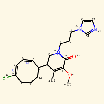 CCOC1=C(CC)C(C2/C=C\C=C(\Br)CCC2)CN(CCCn2ccnc2)C1=O